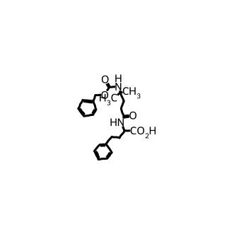 CC(C)(CCC(=O)NC(CCc1ccccc1)C(=O)O)NC(=O)OCc1ccccc1